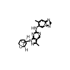 Cc1cc2ncnn2cc1Nc1ncc2c(C)nn([C@@H]3CC4CC[C@H](C3)OC4)c2n1